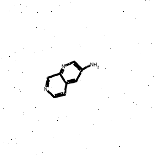 Nc1cnc2cnccc2c1